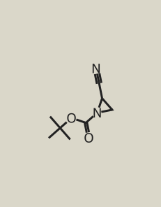 CC(C)(C)OC(=O)N1CC1C#N